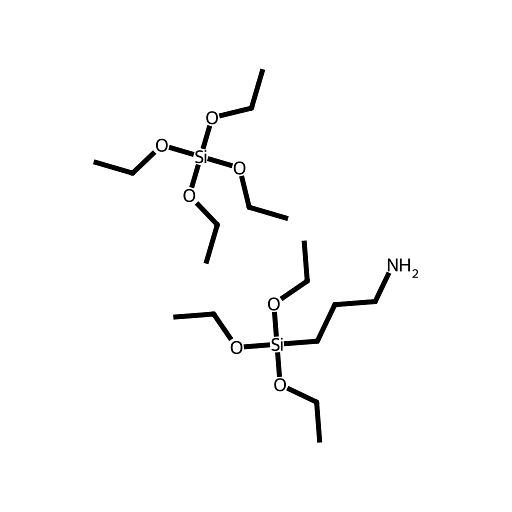 CCO[Si](CCCN)(OCC)OCC.CCO[Si](OCC)(OCC)OCC